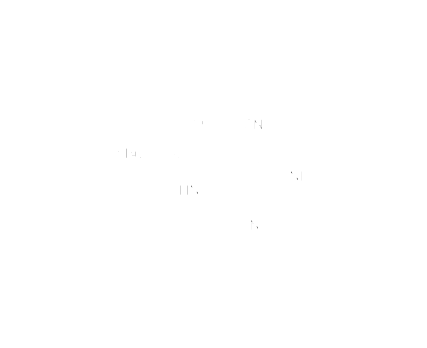 CCCCC(=O)Nc1nc[nH]c1C#N